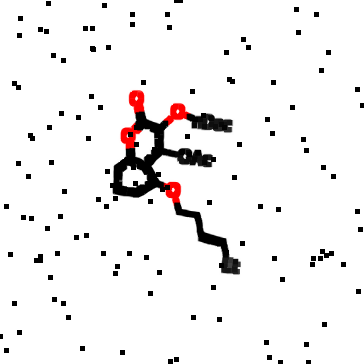 CCC=CCCOc1cccc2oc(=O)c(OCCCCCCCCCC)c(OC(C)=O)c12